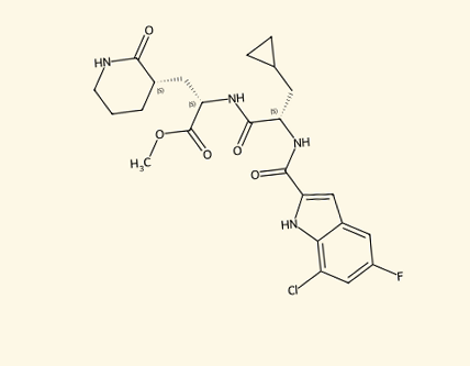 COC(=O)[C@H](C[C@@H]1CCCNC1=O)NC(=O)[C@H](CC1CC1)NC(=O)c1cc2cc(F)cc(Cl)c2[nH]1